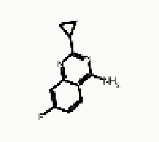 Nc1nc(C2CC2)nc2cc(F)ccc12